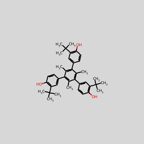 Cc1c(-c2ccc(O)c(C(C)(C)C)c2)c(C)c(-c2ccc(O)c(C(C)(C)C)c2)c(C)c1-c1ccc(O)c(C(C)(C)C)c1